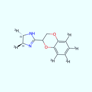 [2H]c1c([2H])c([2H])c2c(c1[2H])OCC(C1=N[C@@H]([2H])[C@H]([2H])N1)O2